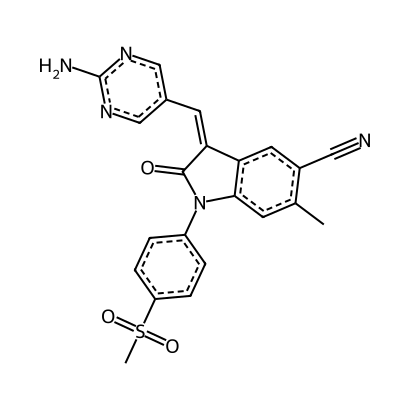 Cc1cc2c(cc1C#N)C(=Cc1cnc(N)nc1)C(=O)N2c1ccc(S(C)(=O)=O)cc1